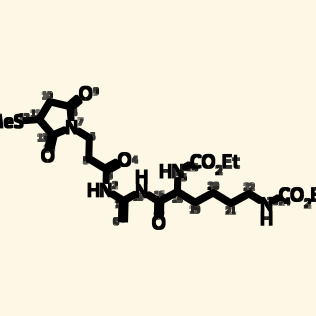 C=C(NC(=O)CCN1C(=O)CC(SC)C1=O)NC(=O)C(CCCCNC(=O)OCC)NC(=O)OCC